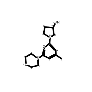 Cc1cc(N2CCOCC2)nc(N2CCC(O)C2)c1